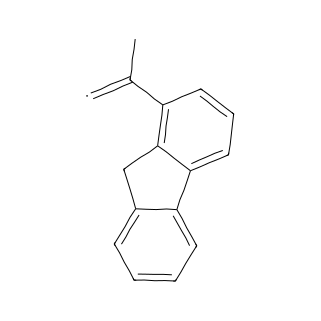 [CH]=C(C)c1cccc2c1Cc1ccccc1-2